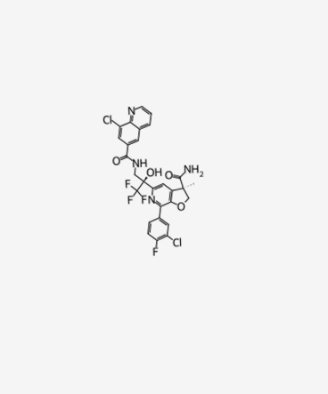 C[C@]1(C(N)=O)COc2c1cc([C@@](O)(CNC(=O)c1cc(Cl)c3ncccc3c1)C(F)(F)F)nc2-c1ccc(F)c(Cl)c1